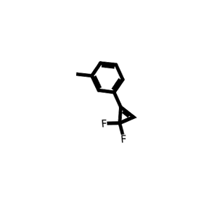 Cc1cccc(C2=CC2(F)F)c1